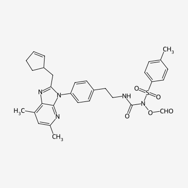 Cc1ccc(S(=O)(=O)N(OC=O)C(=O)NCCc2ccc(-n3c(CC4C=CCC4)nc4c(C)cc(C)nc43)cc2)cc1